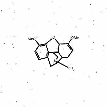 COC1=CCC2C3Cc4ccc(OC)c5c4C2(CCN3C)C1O5